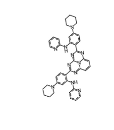 C1=CC2=NC(c3ccc(N4CCCCC4)cc3Nc3ccccn3)=NC3=NC(c4ccc(N5CCCCC5)cc4Nc4ccccn4)=NC(=C1)N23